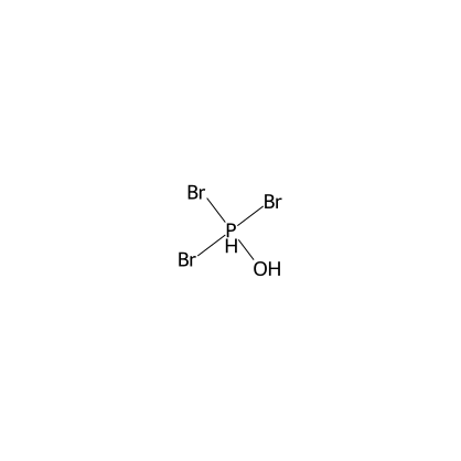 O[PH](Br)(Br)Br